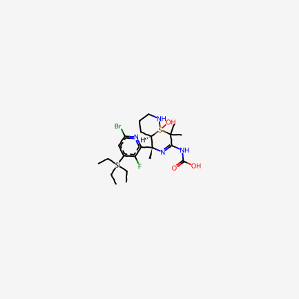 CC[Si](CC)(CC)c1cc(Br)nc([C@@]2(C)N=C(NC(=O)O)C(C)(C)S3(O)NCCC[C@H]23)c1F